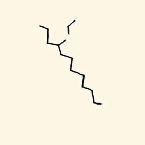 CCCCCCCCC(CCC)OCC